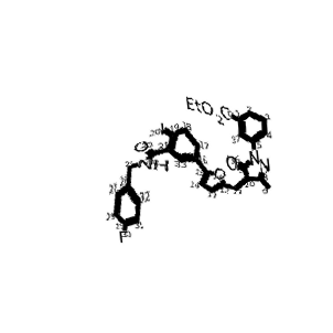 CCOC(=O)c1cccc(N2N=C(C)/C(=C/c3ccc(-c4ccc(I)c(C(=O)NCc5ccc(F)cc5)c4)o3)C2=O)c1